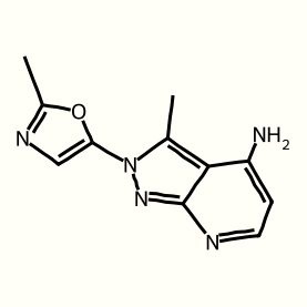 Cc1ncc(-n2nc3nccc(N)c3c2C)o1